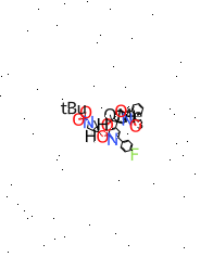 COC(=O)C(C)(CN1C(=O)c2ccccc2C1=O)c1cc(OC2[C@H]3CN(C(=O)OC(C)(C)C)C[C@@H]23)nc(-c2ccc(F)cc2)c1